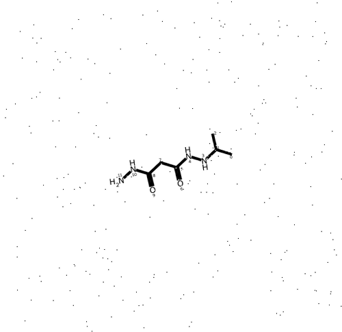 CC(C)NNC(=O)CC(=O)NN